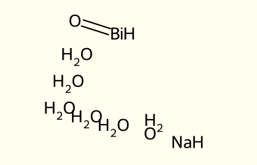 O.O.O.O.O.O.[NaH].[O]=[BiH]